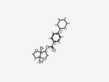 O=C(OC1CO[C@]2(S)CCO[C@H]12)c1ccc(C2CCCCC2)cc1